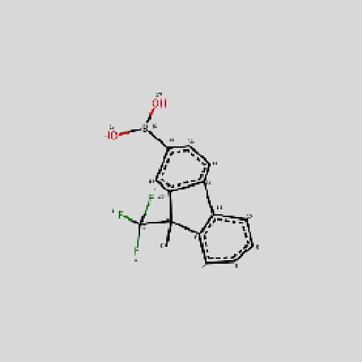 CC1(C(F)(F)F)c2ccccc2-c2ccc(B(O)O)cc21